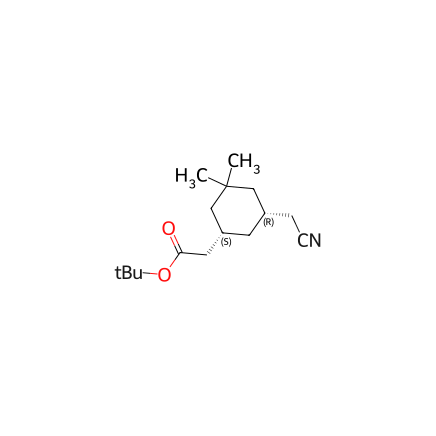 CC1(C)C[C@H](CC#N)C[C@H](CC(=O)OC(C)(C)C)C1